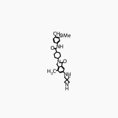 COc1cc(NC(=O)C2CCC(N3Cc4c(C)cc(NCC5(F)CNC5)cc4C3=O)CC2)ccc1C